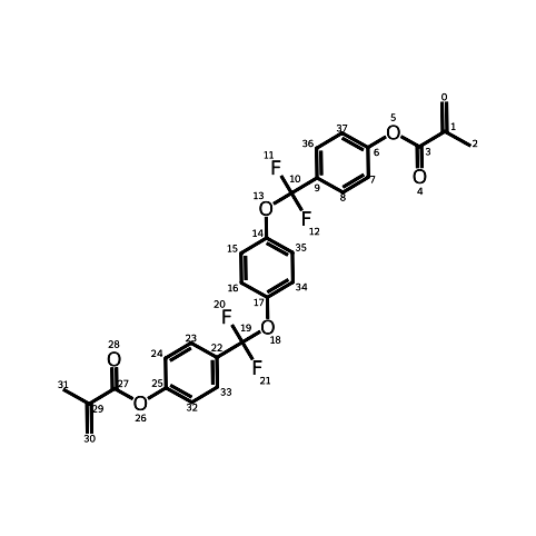 C=C(C)C(=O)Oc1ccc(C(F)(F)Oc2ccc(OC(F)(F)c3ccc(OC(=O)C(=C)C)cc3)cc2)cc1